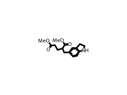 COC(=O)CCC(Cc1ccc2c(c1)CCN2)C(=O)OC